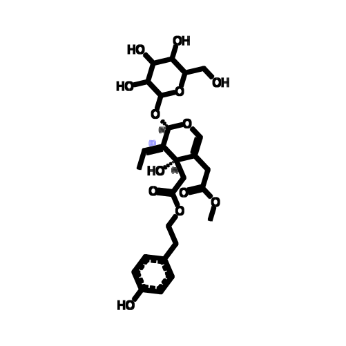 C/C=C1/[C@H](OC2OC(CO)C(O)C(O)C2O)OC=C(CC(=O)OC)[C@@]1(O)CC(=O)OCCc1ccc(O)cc1